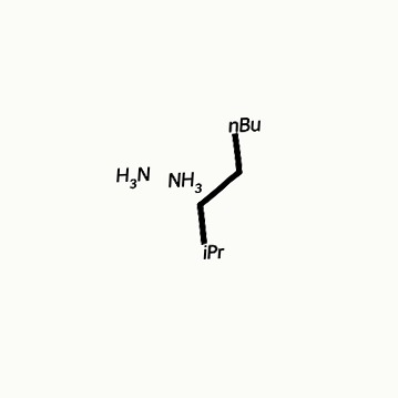 CCCCCCC(C)C.N.N